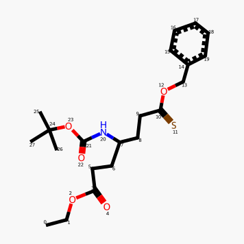 CCOC(=O)CCC(CCC(=S)OCc1ccccc1)NC(=O)OC(C)(C)C